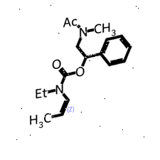 C/C=C\N(CC)C(=O)OC(CN(C)C(C)=O)c1ccccc1